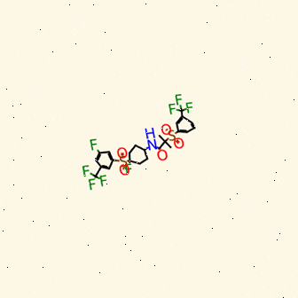 CC(C)(C(=O)NC1CCC(F)(S(=O)(=O)c2cc(F)cc(C(F)(F)F)c2)CC1)S(=O)(=O)c1cccc(C(F)(F)F)c1